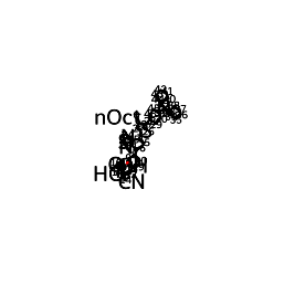 CCCCCCCCc1cc(-c2ccc(-c3ccc(C=C(C#N)P(=O)(O)O)cc3)c3nsnc23)sc1-c1ccc(N(c2ccccc2)c2ccccc2)cc1